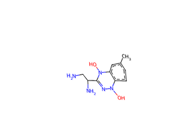 Cc1ccc2c(c1)N(O)C(C(N)CN)=NN2O